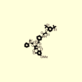 CCC(Oc1ccc(C(C)(C)CC)cc1C(C)(C)CC)C(=O)Nc1cccc(C(=O)Nc2[nH]n(-c3c(Cl)cc(OC)cc3Cl)c(=O)c2OC(=O)N(C(C)=O)c2ccccc2)c1